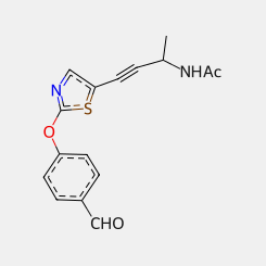 CC(=O)NC(C)C#Cc1cnc(Oc2ccc(C=O)cc2)s1